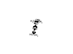 CC1(O)CN(c2ncc(B3OC(C)(C)C(C)(C)O3)cn2)C1